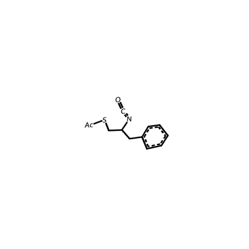 CC(=O)SCC(Cc1ccccc1)N=C=O